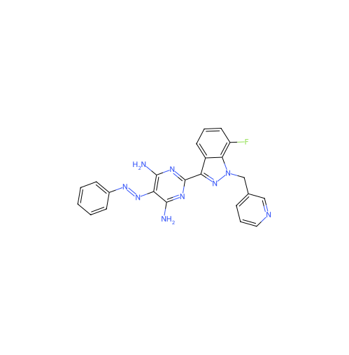 Nc1nc(-c2nn(Cc3cccnc3)c3c(F)cccc23)nc(N)c1N=Nc1ccccc1